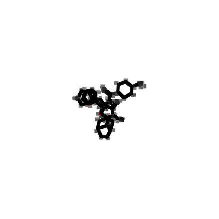 CC(C)N1C(=O)N(CC2CCOCC2)CC12CC1CCC(C2)N1CC[C@H](NC(=O)[C@H]1CC[C@H](C(F)(F)F)CC1)c1ccccc1